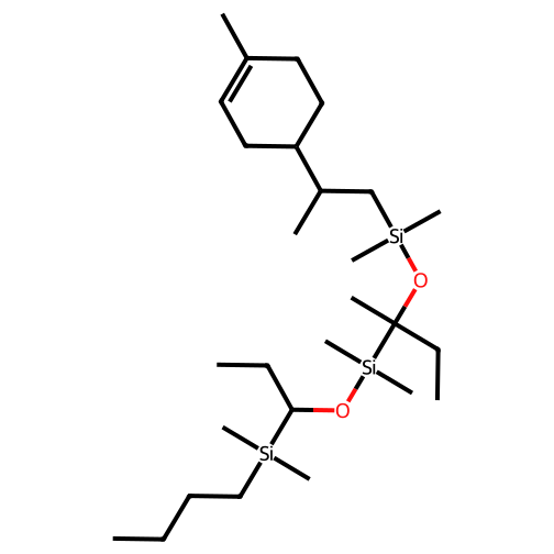 CCCC[Si](C)(C)C(CC)O[Si](C)(C)C(C)(CC)O[Si](C)(C)CC(C)C1CC=C(C)CC1